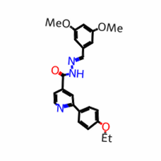 CCOc1ccc(-c2cc(C(=O)NN=Cc3cc(OC)cc(OC)c3)ccn2)cc1